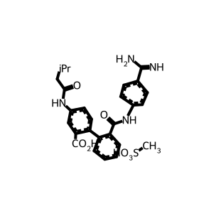 CC(C)CC(=O)Nc1ccc(-c2ccccc2C(=O)Nc2ccc(C(=N)N)cc2)c(C(=O)O)c1.CS(=O)(=O)O